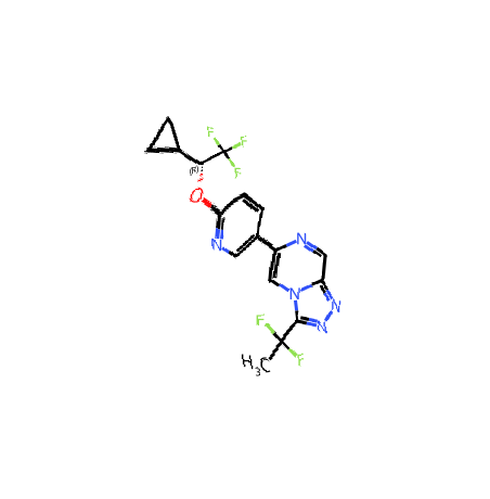 CC(F)(F)c1nnc2cnc(-c3ccc(O[C@H](C4CC4)C(F)(F)F)nc3)cn12